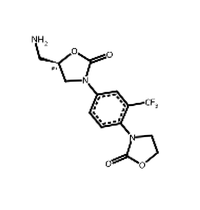 NC[C@@H]1CN(c2ccc(N3CCOC3=O)c(C(F)(F)F)c2)C(=O)O1